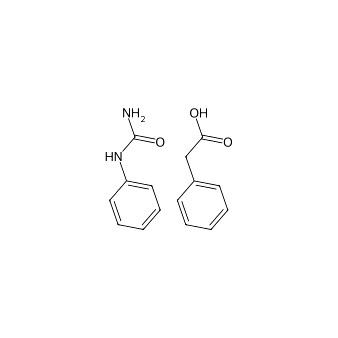 NC(=O)Nc1ccccc1.O=C(O)Cc1ccccc1